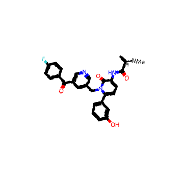 CN[C@H](C)C(=O)Nc1ccc(-c2cccc(O)c2)n(Cc2cncc(C(=O)c3ccc(F)cc3)c2)c1=O